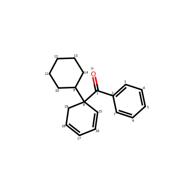 O=C(c1ccccc1)C1(C2CCCCC2)C=CC=CC1